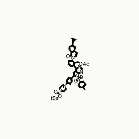 CC(=O)OCc1c(-c2ncnc3c2cc(-c2ccc(N4CCN(C(=O)OC(C)(C)C)CC4)cc2)n3S(=O)(=O)c2ccc(C)cc2)cccc1-n1ccc2cc(C3CC3)ccc2c1=O